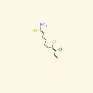 C=C/C(Cl)=C(Cl)\C=C/CC/C=C(/N)S